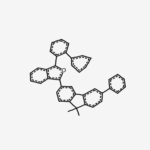 CC1(C)c2ccc(-c3ccccc3)cc2-c2cc(-c3oc(-c4ccccc4-c4ccccc4)c4ccccc34)ccc21